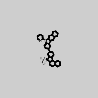 CC1(C)c2cc(-c3ccc4c(c3)c3cc5ccccc5cc3n4-c3ccccn3)ccc2-c2c1ccc1ccccc21